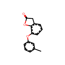 Cc1cccc(Oc2cccc3c2OC(=O)C3)c1